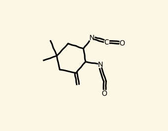 C=C1CC(C)(C)CC(N=C=O)C1N=C=O